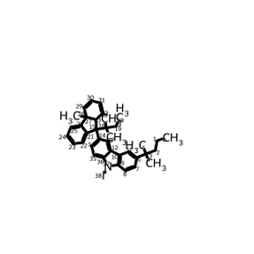 CCCC(C)(C)c1ccc2c(c1)c1cc(C3(C(C)(C)CC)c4ccccc4C4(C)C=CC=CC43)ccc1n2I